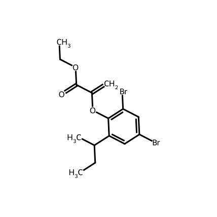 C=C(Oc1c(Br)cc(Br)cc1C(C)CC)C(=O)OCC